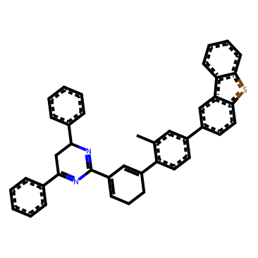 Cc1cc(-c2ccc3sc4ccccc4c3c2)ccc1C1=CC(C2=NC(c3ccccc3)CC(c3ccccc3)=N2)=CCC1